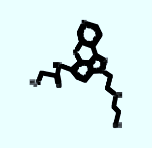 NCC(=O)Nc1ccc2c3c(nn2CCNCCO)-c2ccncc2Sc13